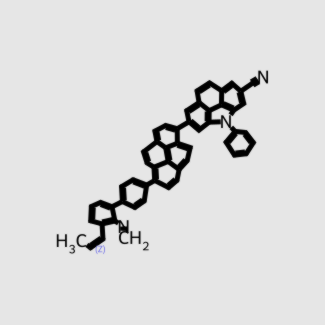 C=Nc1c(/C=C\C)cccc1-c1ccc(-c2ccc3ccc4c(-c5cc6ccc7cc(C#N)cc8c7c6c(c5)n8-c5ccccc5)ccc5ccc2c3c54)cc1